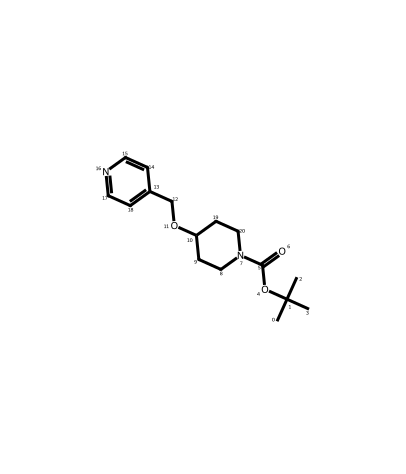 CC(C)(C)OC(=O)N1CCC(OCc2ccncc2)CC1